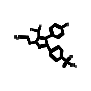 C=CCn1nc(-c2ccc(S(C)(=O)=O)cc2)c(-c2ccc(Cl)cc2)c1C(F)F